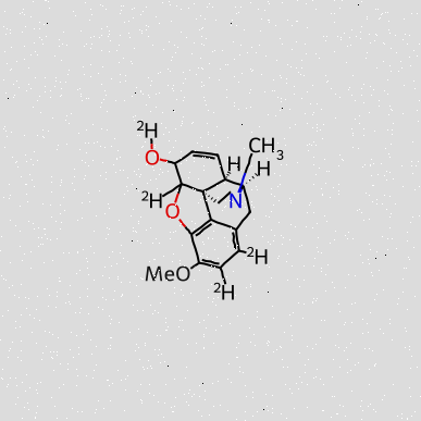 [2H]OC1C=C[C@H]2[C@H]3Cc4c([2H])c([2H])c(OC)c5c4[C@@]2(CCN3C)C1([2H])O5